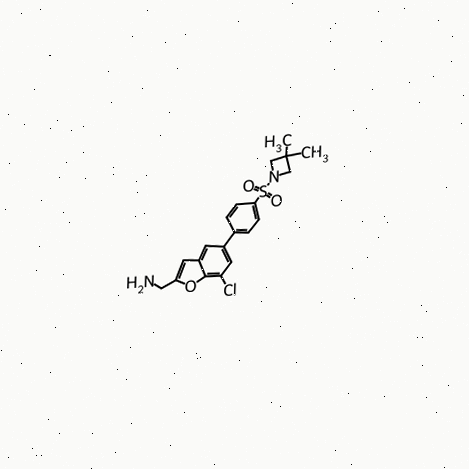 CC1(C)CN(S(=O)(=O)c2ccc(-c3cc(Cl)c4oc(CN)cc4c3)cc2)C1